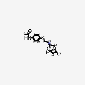 CC(=O)Nc1ccc(SC/C=C2/CN3C(=O)C[C@H]3O2)cc1